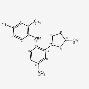 Cc1cc(I)ccc1Nc1[c]cc([N+](=O)[O-])cc1N1CCC(O)C1